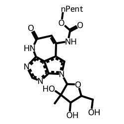 CCCCCOC(=O)NC1=CC(=O)Nc2ncnc3c2c1cn3C1OC(CO)C(O)C1(C)O